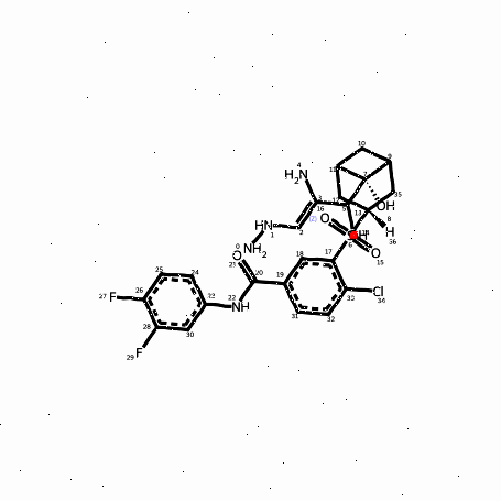 NN/C=C(\N)C(O)[C@]1(O)C2CC1C[C@@H](S(=O)(=O)c1cc(C(=O)Nc3ccc(F)c(F)c3)ccc1Cl)C2